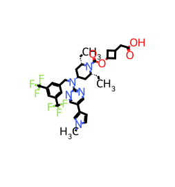 CC[C@@H]1C[C@H](N(Cc2cc(C(F)(F)F)cc(C(F)(F)F)c2)c2ncc(-c3ccn(C)c3)cn2)C[C@H](CC)N1C(=O)OC1CC(CC(=O)O)C1